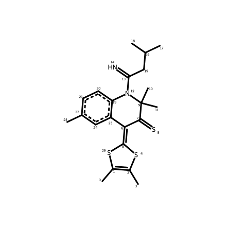 CC1=C(C)SC(=C2C(=S)C(C)(C)N(C(=N)CC(C)C)c3ccc(C)cc32)S1